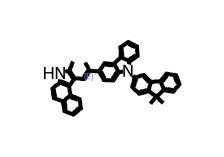 C/C(=C\c1c(C)[nH]c2ccc3ccccc3c12)c1ccc2c(c1)c1ccccc1n2-c1ccc2c(c1)-c1ccccc1C2(C)C